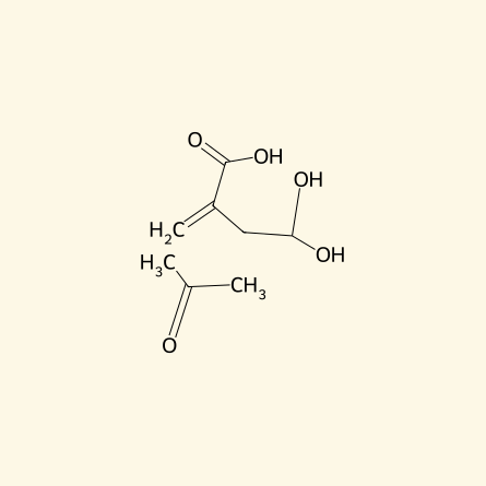 C=C(CC(O)O)C(=O)O.CC(C)=O